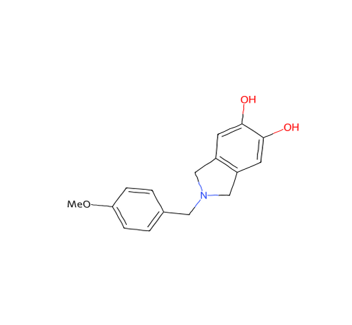 COc1ccc(CN2Cc3cc(O)c(O)cc3C2)cc1